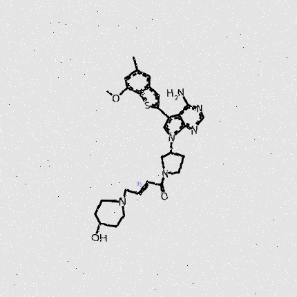 COc1cc(C)cc2cc(-c3cn(C4CCN(C(=O)/C=C/CN5CCC(O)CC5)C4)c4ncnc(N)c34)sc12